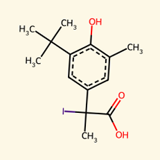 Cc1cc(C(C)(I)C(=O)O)cc(C(C)(C)C)c1O